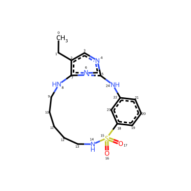 CCc1cnc2nc1NCCCCCNS(=O)(=O)c1cccc(c1)N2